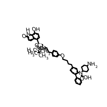 CC(C)(C)[Si](C)(C)O[C@@H](CNCCc1ccc(OCCCCc2ccc(-c3ccccc3)c(N(C(=O)O)C3CCC(N)CC3)c2)cc1)c1ccc(O)c2[nH]c(=O)ccc12